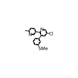 CSc1cccc(-c2cc(Cl)cnc2-c2ccc(C)nc2)c1